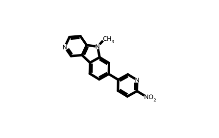 Cn1c2ccncc2c2ccc(-c3ccc([N+](=O)[O-])nc3)cc21